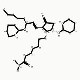 CCCCC[C@@H](/C=C/[C@H]1C(=O)C[C@H](OC2CCCCO2)[C@@H]1CCCCCCC(=O)N(C)C)OC1CCCCO1